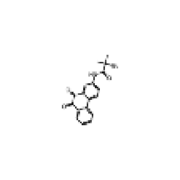 CCC(C)(C)C(=O)Nc1ccc2c(c1)C(=O)C(=O)c1ccccc1-2